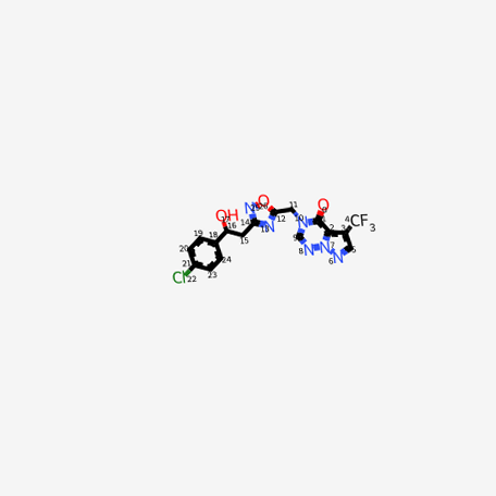 O=c1c2c(C(F)(F)F)cnn2ncn1Cc1nc(CC(O)c2ccc(Cl)cc2)no1